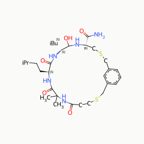 CC[C@H](C)[C@@H]1NC(=O)[C@H](CCC(C)C)NC(=O)C(C)(C)NC(=O)CCSCc2cccc(c2)CSC[C@@H](C(N)=O)NC1O